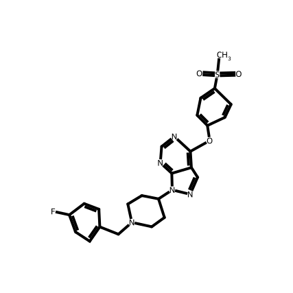 CS(=O)(=O)c1ccc(Oc2ncnc3c2cnn3C2CCN(Cc3ccc(F)cc3)CC2)cc1